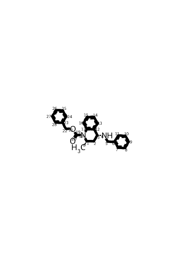 C[C@H]1C[C@@H](NCc2ccccc2)c2ccccc2N1C(=O)OCc1ccccc1